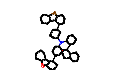 c1cc(-c2cccc3sc4ccccc4c23)cc(N(c2ccc(-c3cccc4oc5ccccc5c34)cc2)c2ccccc2-c2cccc3ccccc23)c1